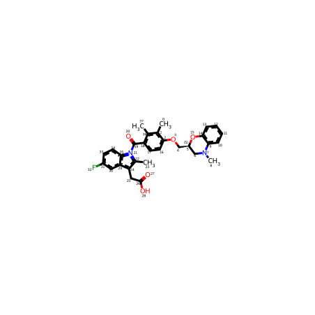 Cc1c(OC[C@@H]2CN(C)c3ccccc3O2)ccc(C(=O)n2c(C)c(CC(=O)O)c3cc(F)ccc32)c1C